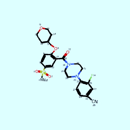 CNS(=O)(=O)c1ccc(OC2CCOCC2)c(C(=O)N2CCN(c3ccc(C#N)cc3F)CC2)c1